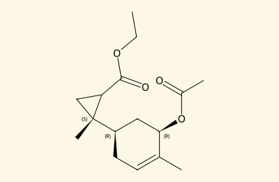 CCOC(=O)C1C[C@@]1(C)[C@@H]1CC=C(C)[C@H](OC(C)=O)C1